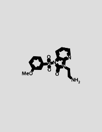 COc1cccc(S(=O)(=O)n2c(=O)n(CCN)c3ncccc32)c1